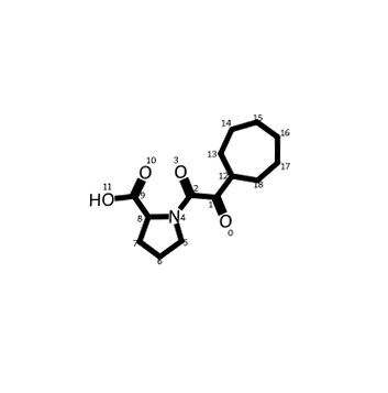 O=C(C(=O)N1CCCC1C(=O)O)C1CCCCCC1